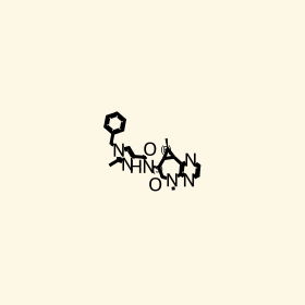 Cc1nc(C(=O)N[C@@H]2C(=O)N(C)c3nccnc3C3C2[C@H]3C)cn1Cc1ccccc1